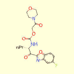 CCC[C@H](NC(=O)OCC(=O)N1CCOCC1)C(=O)c1nc2cc(F)ccc2o1